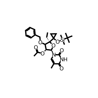 CC[C@]1(C2(O[Si](C)(C)C(C)(C)C)CC2)O[C@@H](n2cc(C)c(=O)[nH]c2=O)[C@@H](OC(C)=O)C1OCc1ccccc1